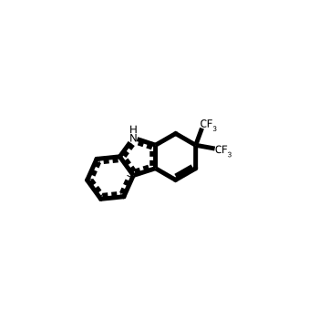 FC(F)(F)C1(C(F)(F)F)C=Cc2c([nH]c3ccccc23)C1